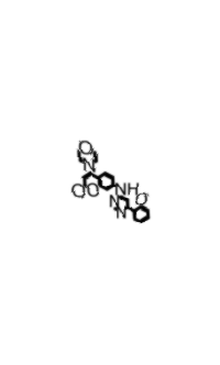 COc1ccccc1-c1cc(Nc2ccc3c(N4CCOCC4)cc(=O)oc3c2)ncn1